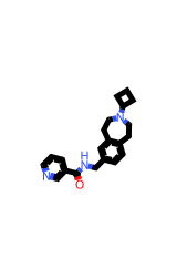 O=C(NCc1ccc2c(c1)CCN(C1CCC1)CC2)c1cccnc1